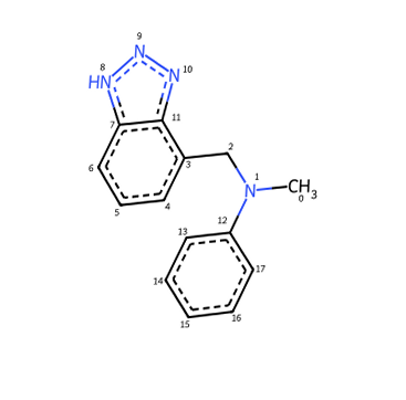 CN(Cc1cccc2[nH]nnc12)c1ccccc1